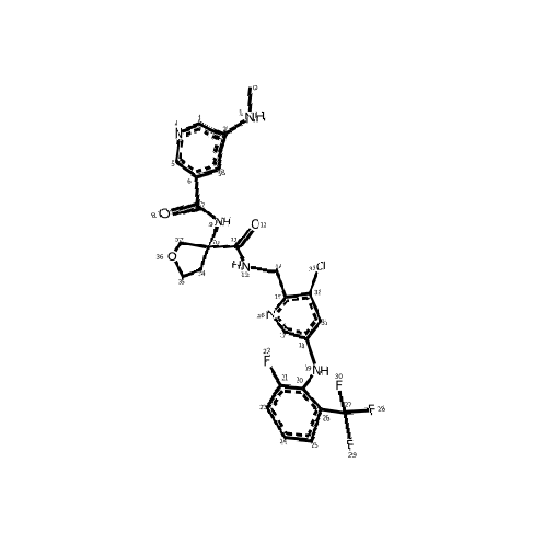 CNc1cncc(C(=O)N[C@@]2(C(=O)NCc3ncc(Nc4c(F)cccc4C(F)(F)F)cc3Cl)CCOC2)c1